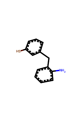 Nc1ccccc1Cc1cccc(S)c1